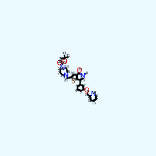 Cn1cc(-c2cccc(OCc3ccccn3)c2)c2sc(CN3CCCN(C(=O)OC(C)(C)C)CC3)cc2c1=O